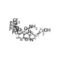 CC(C)(O)C#Cc1cnc2c(c1)C1(COC(N)=N1)c1cc(OS(=O)(=O)C(F)(F)C(F)(F)C(F)(F)C(F)(F)F)ccc1O2